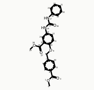 COC(=O)c1ccc(COc2ccc(NC(=O)Nc3ccccc3)cc2C(=O)OC)cc1